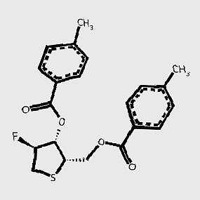 Cc1ccc(C(=O)OC[C@@H]2SC[C@@H](F)[C@@H]2OC(=O)c2ccc(C)cc2)cc1